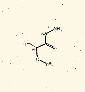 CCCCO[C@H](C)C(=O)NN